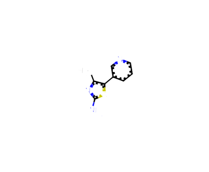 Cc1nc(N)sc1-c1cccnc1